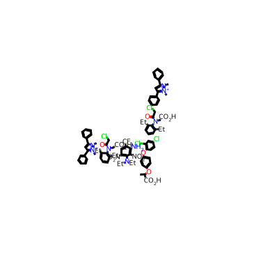 CC(Oc1ccc(Oc2ccc(Cl)cc2Cl)cc1)C(=O)O.CCN(CC)c1c([N+](=O)[O-])cc(C(F)(F)F)c(N)c1[N+](=O)[O-].CCc1cccc(CC)c1N(CC(=O)O)C(=O)CCl.CCc1cccc(CC)c1N(CC(=O)O)C(=O)CCl.Cn1c(-c2ccccc2)cc(-c2ccccc2)[n+]1C.Cn1c(-c2ccccc2)cc(-c2ccccc2)[n+]1C